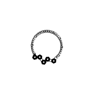 c1ccc2c(c1)CCOCCCCOCCCCOCCCCOCCCCOCCCCOCCCCOCCCCOc1ccccc1-c1ccccc1Oc1ccccc1-c1ccccc1O2